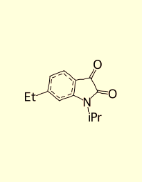 CCc1ccc2c(c1)N(C(C)C)C(=O)C2=O